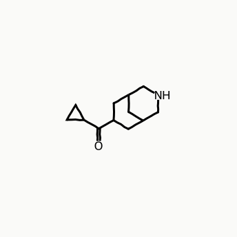 O=C(C1CC1)C1CC2CNCC(C2)C1